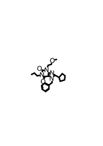 CCCn1c(=O)c2c(nc(C3CCCC3)n2Cc2ccccc2)n(CCOC)c1=O